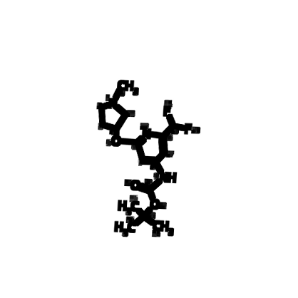 CN1CCC(Oc2cc(NC(=O)OC(C)(C)C)cc(C(F)F)n2)C1